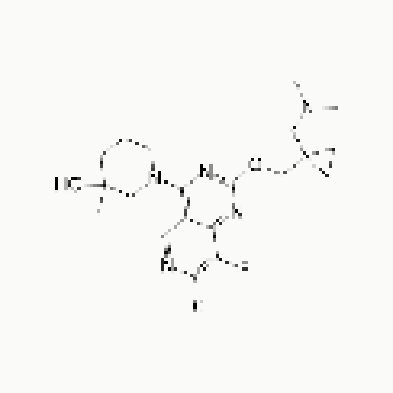 CN(C)CC1(COc2nc(N3CCCC(C)(O)C3)c3cnc(Cl)c(F)c3n2)CC1